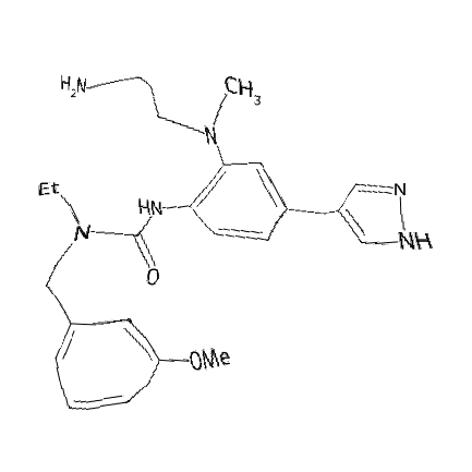 CCN(Cc1cccc(OC)c1)C(=O)Nc1ccc(-c2cn[nH]c2)cc1N(C)CCN